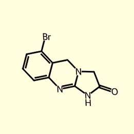 O=C1CN2Cc3c(Br)cccc3N=C2N1